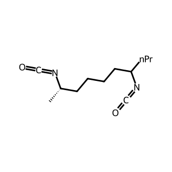 CCCC(CCCC[C@H](C)N=C=O)N=C=O